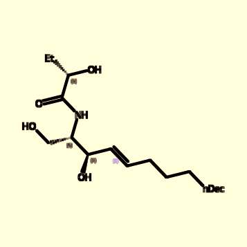 CCCCCCCCCCCCC/C=C/[C@@H](O)[C@H](CO)NC(=O)[C@@H](O)CC